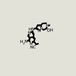 C[C@@H](C#N)c1cc2cc(Nc3cc4n(n3)CC(O)N(C)CC4)ncc2c(N)n1